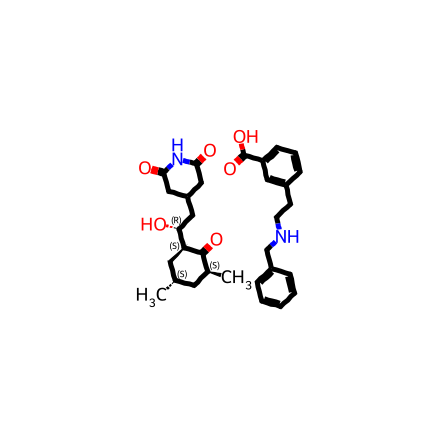 C[C@@H]1C[C@@H]([C@H](O)CC2CC(=O)NC(=O)C2)C(=O)[C@@H](C)C1.O=C(O)c1cccc(CCNCc2ccccc2)c1